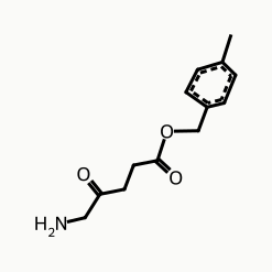 Cc1ccc(COC(=O)CCC(=O)CN)cc1